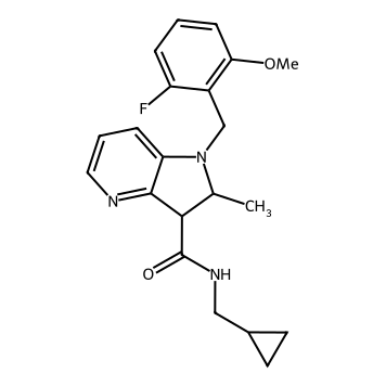 COc1cccc(F)c1CN1c2cccnc2C(C(=O)NCC2CC2)C1C